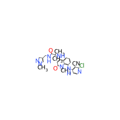 Cn1cc(CNC(=O)C(C)(C)Nc2cc(=O)n(C)c3c(Nc4ccnc(Cl)c4C#N)cccc23)cn1